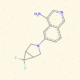 Nc1cncc2ccc(N3CC4C(C3)C4(F)F)cc12